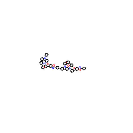 c1ccc(-c2nc3cc4oc5c(N(c6ccc7c8ccc(-c9ccc(-c%10nc%11cc%12c(cc%11o%10)oc%10c(N(c%11ccccc%11-c%11ccccc%11)c%11cccc%13c%11c%11ccccc%11n%13-c%11ccccc%11)cccc%10%12)cc9)cc8n(-c8ccccc8)c7c6)c6cccc7c6oc6ccccc67)cccc5c4cc3o2)cc1